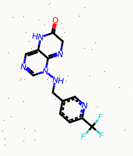 O=C1CN=C2C(=CN=CN2NCc2ccc(C(F)(F)F)nc2)N1